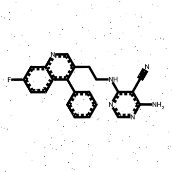 N#Cc1c(N)ncnc1NCCc1cnc2cc(F)ccc2c1-c1ccccc1